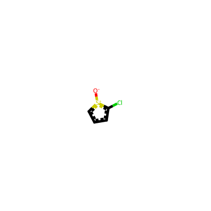 [O-][s+]1cccc1Cl